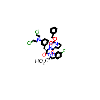 O=C(O)[C@H](Cc1ccc(F)cc1)NC(=O)[C@H](Cc1cccc(N(CCCl)CCCl)c1)NC(=O)[C@@H]1CCCN1C(=O)OCc1ccccc1